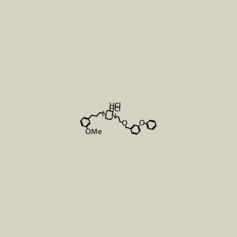 COc1cccc(CCCN2CCN(CCOCc3cccc(Oc4ccccc4)c3)CC2)c1.Cl.Cl